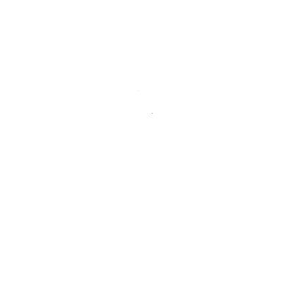 CC(C)C1(C(F)(F)F)CCCCCCCCCCC1